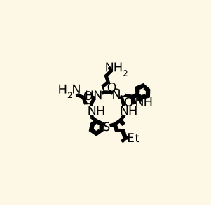 C=C1CNC(=O)[C@H](Cc2c[nH]c3ccccc23)N(C)C(=O)[C@H](CCCCN)NC(=O)[C@H](CCCN)NCc2ccccc2S/C1=C/C=C(\C)CC